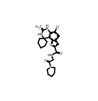 C=C1Nc2c(Cl)cc3cc(C(=O)NCC(=O)N4CCCCC4)oc3c2C2(CCCCC2)N1